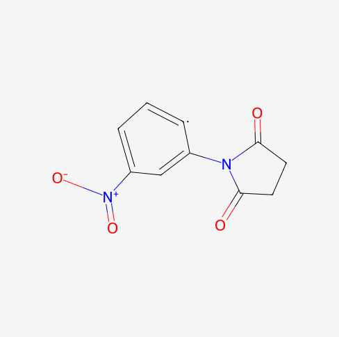 O=C1CCC(=O)N1c1[c]ccc([N+](=O)[O-])c1